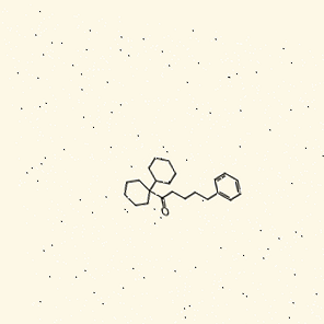 O=C(CCCCc1ccccc1)C1(C2CCCCC2)CCCCC1